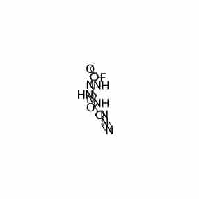 COc1cc(F)c2[nH]c(-c3cc(NC(=O)c4ccc(N5CCN(C)CC5)nc4)n[nH]3)nc2c1